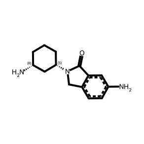 Nc1ccc2c(c1)C(=O)N([C@H]1CCC[C@@H](N)C1)C2